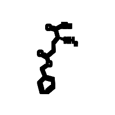 CCC(C)C(=O)[C@H](N)CCC(=O)OCc1ccccc1